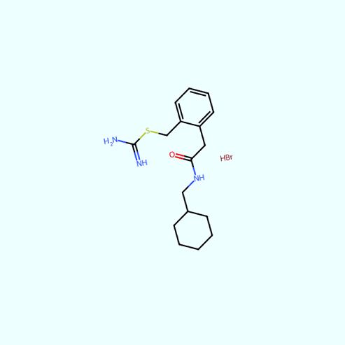 Br.N=C(N)SCc1ccccc1CC(=O)NCC1CCCCC1